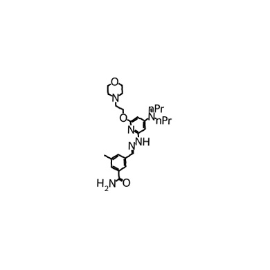 CCCN(CCC)c1cc(N/N=C/c2cc(C)cc(C(N)=O)c2)nc(OCCN2CCOCC2)c1